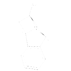 CC(=O)C12C[C@]3(C)c4ccccc4[C@@]1(C)N23